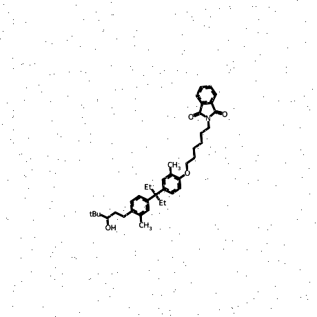 CCC(CC)(c1ccc(CCC(O)C(C)(C)C)c(C)c1)c1ccc(OCCCCCCN2C(=O)c3ccccc3C2=O)c(C)c1